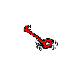 CO[C@H]1C[C@@H]2CCC[C@@](O)(O2)C(=O)C(=O)N2CCCC[C@H]2C(=O)O[C@H]([C@H](N)C[C@@H]2CC[C@@H](OC(=O)NCCOCCOCCOCCOCCOCCOCCOCCOCCC(=O)N3CCc4cc(Cn5nc(-c6cnc7[nH]ccc7c6)c6c(N)ncnc65)ccc4C3)[C@H](OC)C2)CC(=O)[C@H](C)/C=C(\C)[C@@H](O)[C@@H](O)C(=O)[C@H](C)C[C@H](C)/C=C/C=C/C=C/1C